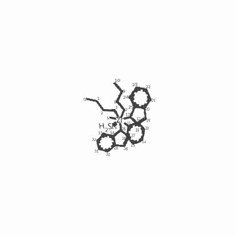 CCC[CH2][Zr]([CH3])(=[SiH2])([CH2]CCC)([c]1ccccc1)([CH]1C=Cc2ccccc21)[CH]1C=Cc2ccccc21